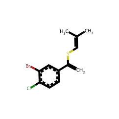 C=C(SC=C(C)C)c1ccc(Cl)c(Br)c1